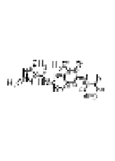 Cc1nn(C)cc1CNc1ncc2cc(Oc3ccccc3F)c(=O)n(C)c2n1